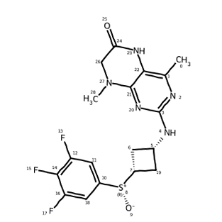 Cc1nc(N[C@H]2C[C@@H]([S@+]([O-])c3cc(F)c(F)c(F)c3)C2)nc2c1NC(=O)CN2C